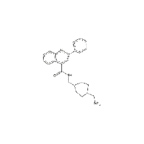 NCC1CCC(CNC(=O)c2cc(-c3ccccc3)nc3ccccc23)CC1